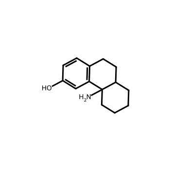 NC12CCCCC1CCc1ccc(O)cc12